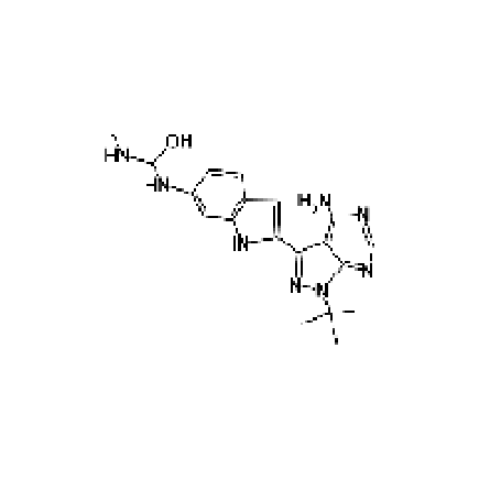 CNC(O)Nc1ccc2cc(-c3nn(C(C)(C)C)c4ncnc(N)c34)[nH]c2c1